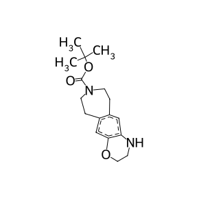 CC(C)(C)OC(=O)N1CCc2cc3c(cc2CC1)OCCN3